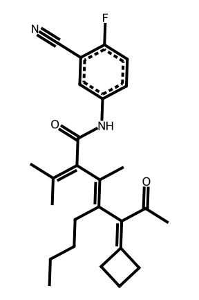 CCCC/C(C(C(C)=O)=C1CCC1)=C(/C)C(C(=O)Nc1ccc(F)c(C#N)c1)=C(C)C